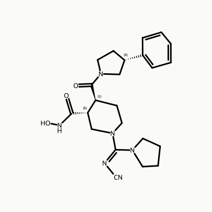 N#CN=C(N1CCCC1)N1CC[C@H](C(=O)N2CC[C@H](c3ccccc3)C2)[C@@H](C(=O)NO)C1